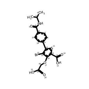 CC(C)NC(=O)c1ccc(-c2sc(C(=O)O)c(OCC(=O)O)c2Br)cc1